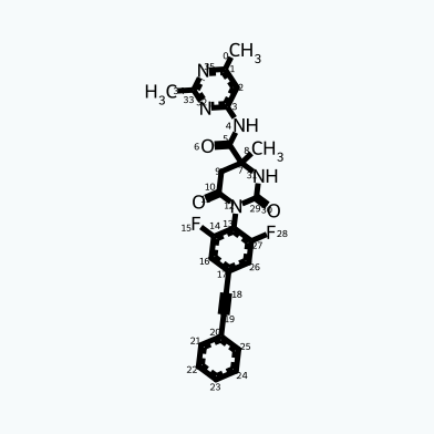 Cc1cc(NC(=O)C2(C)CC(=O)N(c3c(F)cc(C#Cc4ccccc4)cc3F)C(=O)N2)nc(C)n1